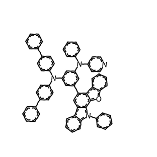 c1ccc(-c2ccc(N(c3ccc(-c4ccccc4)cc3)c3cc(-c4cc5c6ccccc6n(-c6ccccc6)c5c5oc6ccccc6c45)cc(N(c4ccccc4)c4ccncc4)c3)cc2)cc1